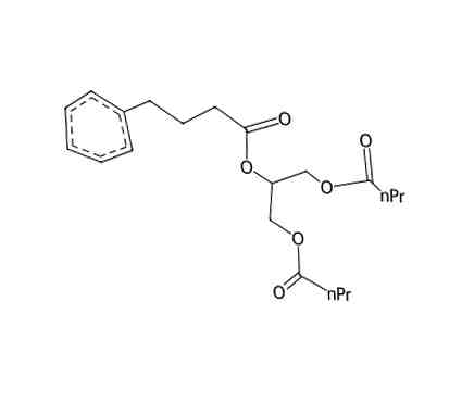 CCCC(=O)OCC(COC(=O)CCC)OC(=O)CCCc1ccccc1